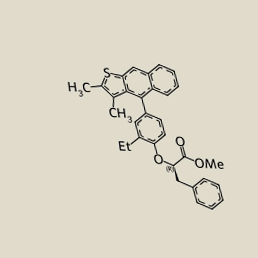 CCc1cc(-c2c3ccccc3cc3sc(C)c(C)c23)ccc1O[C@H](Cc1ccccc1)C(=O)OC